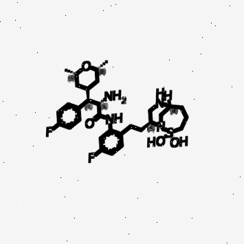 C[C@@H]1CC([C@H](c2ccc(F)cc2)[C@H](N)C(=O)Nc2cc(F)ccc2CC[C@H]2CN[C@@H]3CCCS(O)(O)N2C3)C[C@H](C)O1